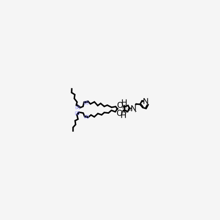 CCCCC/C=C\C/C=C\CCCCCCCCC1(CCCCCCCC/C=C\C/C=C\CCCCC)O[C@H]2C[C@H](N(C)Cc3cccnc3)C[C@H]2O1